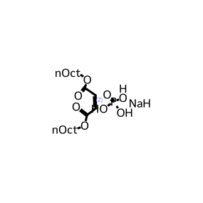 CCCCCCCCOC(=O)/C=C\C(=O)OCCCCCCCC.O=P(O)(O)O.[NaH]